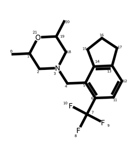 CC1CN(Cc2c(C(F)(F)F)ccc3c2CCC3)CC(C)O1